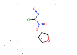 C1CCOC1.O=[N][Rh]([Cl])[N+](=O)[O-]